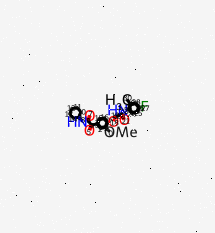 COc1cc(C(=O)C(=O)NC2CCCCC2)ccc1OCC(=O)Nc1ccc(F)cc1C